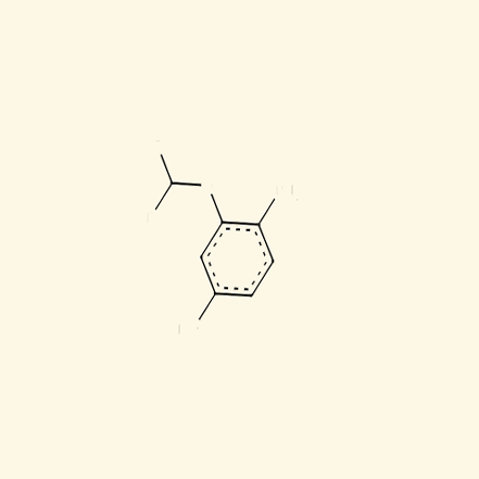 Bc1ccc(O)cc1OC(F)F